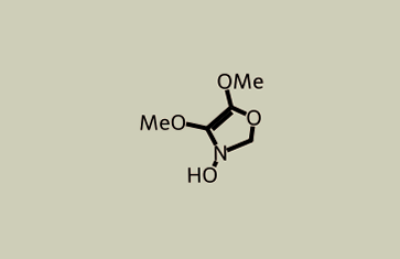 COC1=C(OC)N(O)CO1